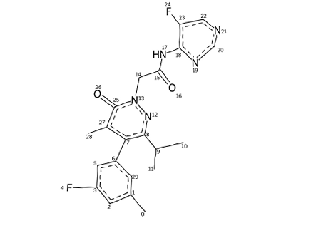 Cc1cc(F)cc(-c2c(C(C)C)nn(CC(=O)Nc3ncncc3F)c(=O)c2C)c1